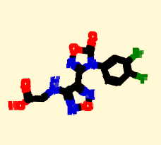 O=C(O)CNc1nonc1-c1noc(=O)n1-c1ccc(F)c(Br)c1